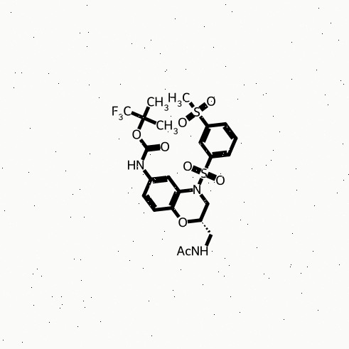 CC(=O)NC[C@H]1CN(S(=O)(=O)c2cccc(S(C)(=O)=O)c2)c2cc(NC(=O)OC(C)(C)C(F)(F)F)ccc2O1